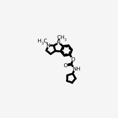 CN1CCC2c3cc(OC(=O)NC4CCCC4)ccc3N(C)C21